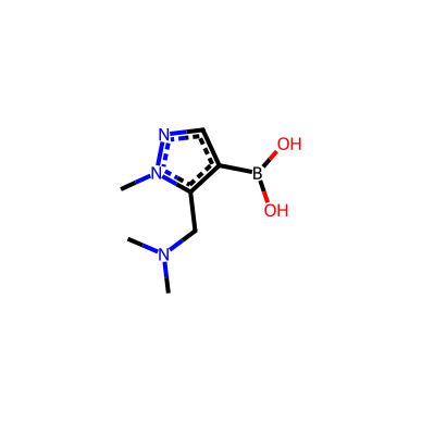 CN(C)Cc1c(B(O)O)cnn1C